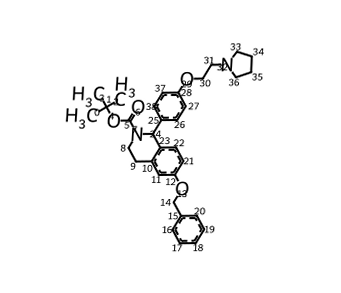 CC(C)(C)OC(=O)N1CCc2cc(OCc3ccccc3)ccc2C1c1ccc(OCCN2CCCC2)cc1